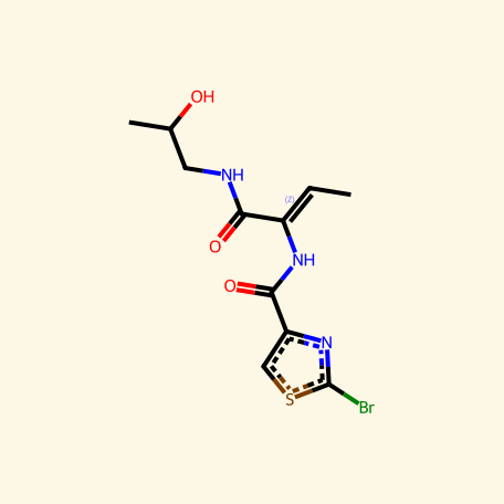 C/C=C(\NC(=O)c1csc(Br)n1)C(=O)NCC(C)O